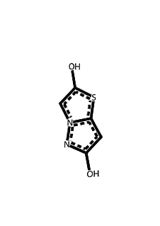 Oc1cc2sc(O)cn2n1